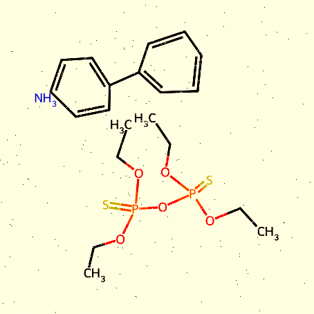 CCOP(=S)(OCC)OP(=S)(OCC)OCC.N.c1ccc(-c2ccccc2)cc1